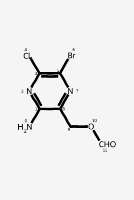 Nc1nc(Cl)c(Br)nc1COC=O